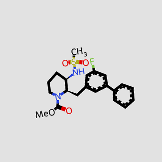 COC(=O)N1CCC[C@@H](NS(C)(=O)=O)[C@H]1Cc1cc(F)cc(-c2ccccc2)c1